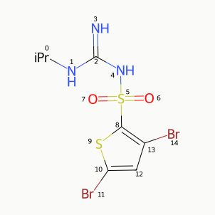 CC(C)NC(=N)NS(=O)(=O)c1sc(Br)cc1Br